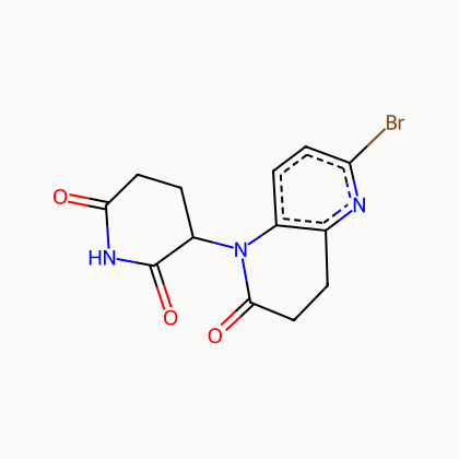 O=C1CCC(N2C(=O)CCc3nc(Br)ccc32)C(=O)N1